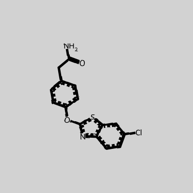 NC(=O)Cc1ccc(Oc2nc3ccc(Cl)cc3s2)cc1